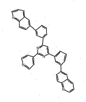 c1cc(-c2ccc3ncccc3c2)cc(-c2cc(-c3cccc(-c4ccc5ncccc5c4)c3)nc(-c3ccncc3)n2)c1